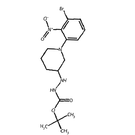 CC(C)(C)OC(=O)NNC1CCCN(c2cccc(Br)c2[N+](=O)[O-])C1